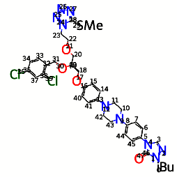 CCC(C)n1ncn(-c2ccc(N3CCN(c4ccc(OC[C@H](COCCn5nnnc5SC)OCc5ccc(Cl)cc5Cl)cc4)CC3)cc2)c1=O